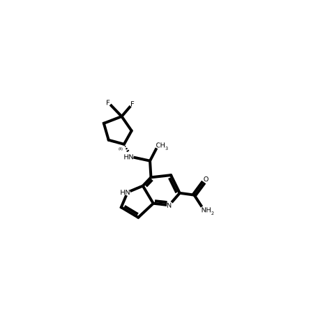 CC(N[C@@H]1CCC(F)(F)C1)c1cc(C(N)=O)nc2cc[nH]c12